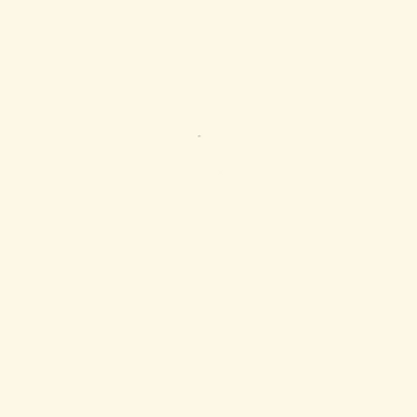 CCOc1ccc2[te]ccc2c1